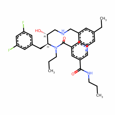 CCCNC(=O)c1cncc(C(=O)N(CCC)[C@@H](Cc2cc(F)cc(F)c2)[C@H](O)CNCc2cccc(CC)c2)c1